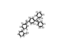 Ic1ccccc1-c1ccc(Sc2ccc([S+](c3ccccc3)c3ccccc3)cc2)cc1